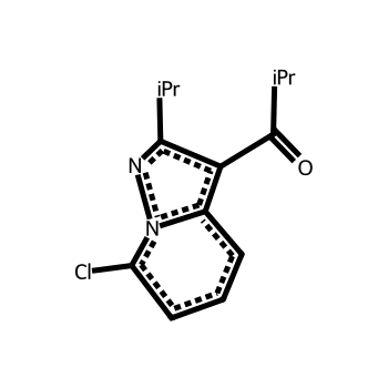 CC(C)C(=O)c1c(C(C)C)nn2c(Cl)cccc12